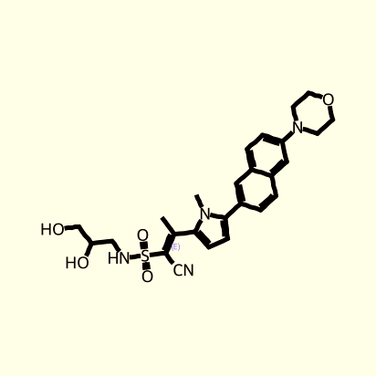 C/C(=C(/C#N)S(=O)(=O)NCC(O)CO)c1ccc(-c2ccc3cc(N4CCOCC4)ccc3c2)n1C